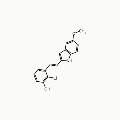 COc1ccc2[nH]c(/C=C/c3cccc(O)c3Cl)cc2c1